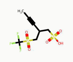 CC#CC(CS(=O)(=O)O)CS(=O)(=O)C(F)(F)F